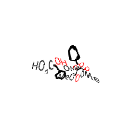 COC(=O)[C@H]1OC(c2ccccc2)O[C@@H]1C(=O)OC.COc1ccccc1C(O)C(=O)O